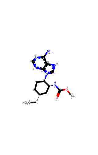 CC(C)(C)OC(=O)N[C@@H]1C[C@H](CC(=O)O)CC[C@H]1n1cnc2c(N)ncnc21